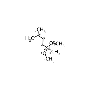 CO[Si](C)(CCC(C)C)OC